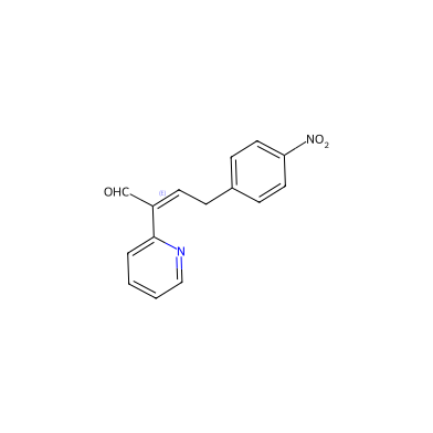 O=C/C(=C/Cc1ccc([N+](=O)[O-])cc1)c1ccccn1